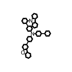 c1ccc(-c2ccc(N(c3ccc(-c4ccc5oc6ccccc6c5c4)cc3)c3ccc(-c4ccccc4-n4c5ccccc5c5ccccc54)cc3)cc2)cc1